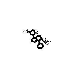 O=[N+]([O-])c1ccccc1-c1ccc2c3c(cccc13)-c1cc(Cl)ccc1S2